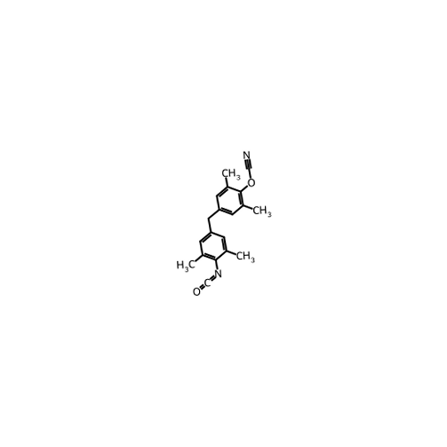 Cc1cc(Cc2cc(C)c(OC#N)c(C)c2)cc(C)c1N=C=O